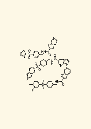 Cc1ccc(S(=O)(=O)c2ccc(CNC(=O)c3cc4ccncc4o3)cc2)cc1F.Cn1cc2cc(S(=O)(=O)c3ccc(CNC(=O)c4cnc5nccn5c4)cc3)ccc2n1.O=C(NCc1ccc(S(=O)(=O)c2nccs2)cc1)c1cc2ccncc2s1